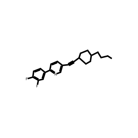 CCCCC1CCC(C#Cc2ccc(-c3ccc(F)c(F)c3)nc2)CC1